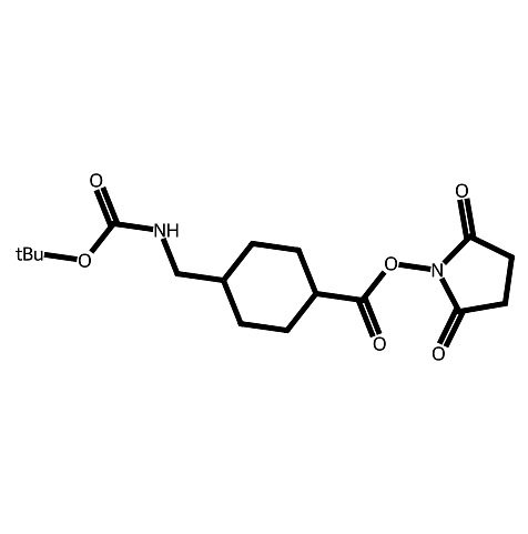 CC(C)(C)OC(=O)NCC1CCC(C(=O)ON2C(=O)CCC2=O)CC1